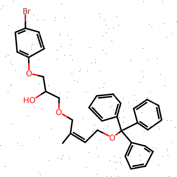 CC(=CCOC(c1ccccc1)(c1ccccc1)c1ccccc1)COCC(O)COc1ccc(Br)cc1